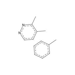 Cc1ccccc1.Cc1ccnnc1C